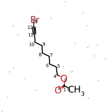 CC(=O)OCCCCCCCC#CBr